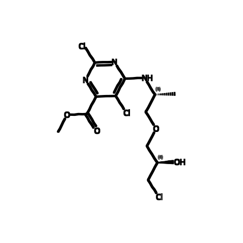 COC(=O)c1nc(Cl)nc(N[C@H](C)COC[C@@H](O)CCl)c1Cl